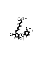 Cc1cccc(OC[C@H]2[C@H](O)CC(Cl)[C@@H]2CC=CCCCC(=O)O)c1